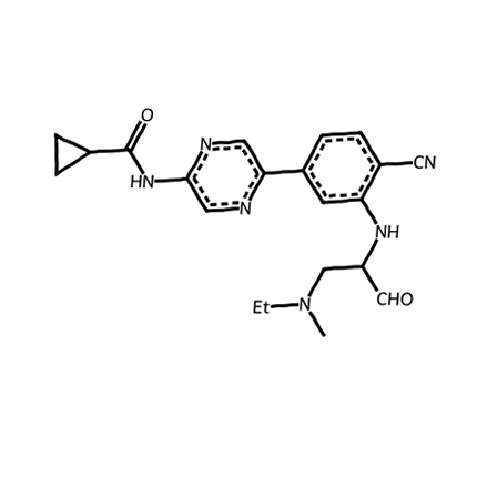 CCN(C)CC(C=O)Nc1cc(-c2cnc(NC(=O)C3CC3)cn2)ccc1C#N